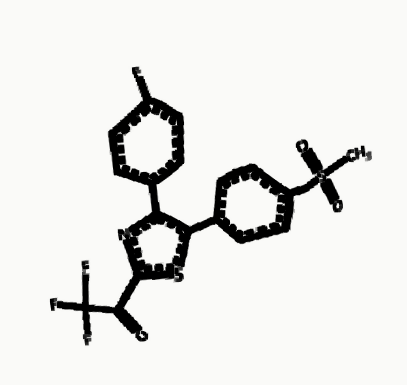 CS(=O)(=O)c1ccc(-c2sc(C(=O)C(F)(F)F)nc2-c2ccc(F)cc2)cc1